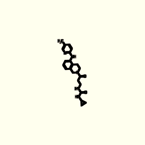 O=C(NCCC(=O)N1CCc2c(cccc2Nc2ccc(C(F)(F)F)cn2)C1)NC1CC1